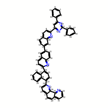 c1ccc(-c2cc(-c3ccc4ccc(-c5ccc6nc(-c7ccc(-c8ccc9ccc%10cccnc%10c9n8)c8ccccc78)ccc6c5)cc4n3)nc(-c3ccccc3)n2)cc1